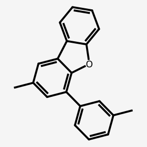 Cc1cccc(-c2cc(C)cc3c2oc2ccccc23)c1